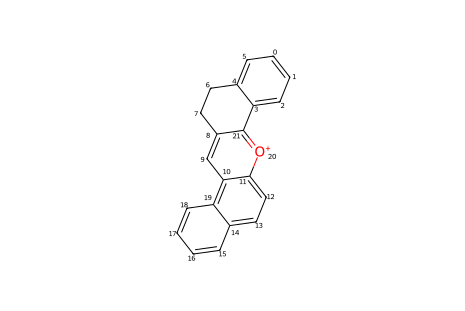 c1ccc2c(c1)CCc1cc3c(ccc4ccccc43)[o+]c1-2